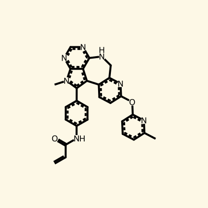 C=CC(=O)Nc1ccc(-c2c3c4c(ncnc4n2C)NCc2nc(Oc4cccc(C)n4)ccc2-3)cc1